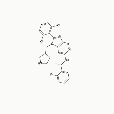 C[C@H](Nc1ncc2nc(-c3c(Cl)cccc3Cl)n(CC3CCNC3)c2n1)c1ccccc1F